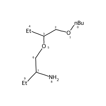 CCCCOCC(CC)OCC(N)CC